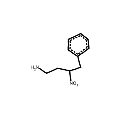 NCCC(Cc1ccccc1)[N+](=O)[O-]